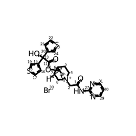 O=C(C[N+]12CCC(CC1)[C@@H](OC(=O)C(O)(c1ccsc1)c1ccsc1)C2)Nc1ncccn1.[Br-]